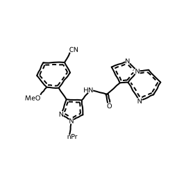 CCCn1cc(NC(=O)c2cnn3cccnc23)c(-c2cc(C#N)ccc2OC)n1